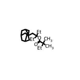 CCC(CC)(CC12CC3CC(CC(C3)C1)C2)OC(=O)C(C)(C)CC